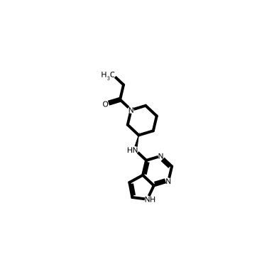 CCC(=O)N1CCC[C@@H](Nc2ncnc3[nH]ccc23)C1